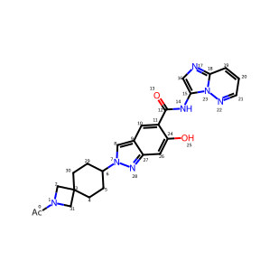 CC(=O)N1CC2(CCC(n3cc4cc(C(=O)Nc5cnc6cccnn56)c(O)cc4n3)CC2)C1